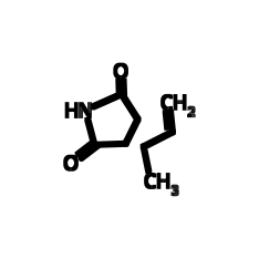 C=CCC.O=C1CCC(=O)N1